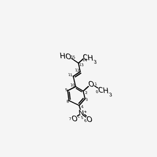 COc1cc([N+](=O)[O-])ccc1C=CC(C)O